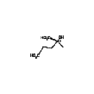 C[C@@](O)(CCC(=O)O)C(=O)O